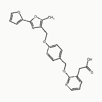 Cc1oc(-c2ccco2)nc1COc1ccc(COc2ncccc2CC(=O)O)cc1